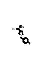 CC(C)(C)C(O)c1cn(Cc2ccc(F)cc2)nn1